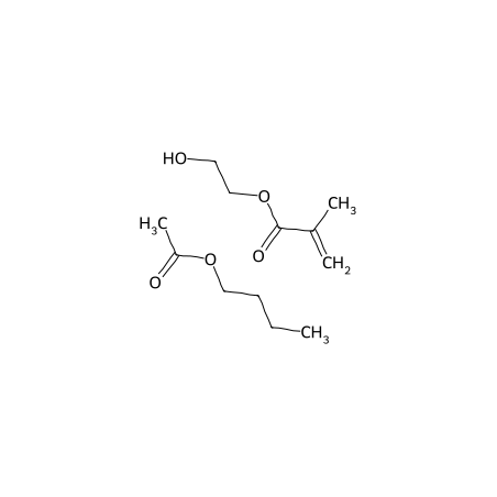 C=C(C)C(=O)OCCO.CCCCOC(C)=O